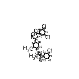 Cc1cc(C2=NOC(c3cc(Cl)cc(Cl)c3)(C(F)(F)F)C2)ccc1CN=S(C)(=O)c1cccc(Cl)c1